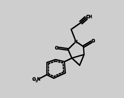 C#CCN1C(=O)C2CC2(c2ccc([N+](=O)[O-])cc2)C1=O